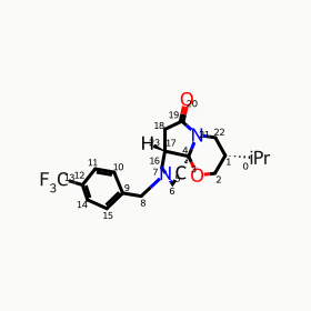 CC(C)[C@@H]1CO[C@@]23CCN(Cc4ccc(C(F)(F)F)cc4)C[C@@H]2CC(=O)N3C1